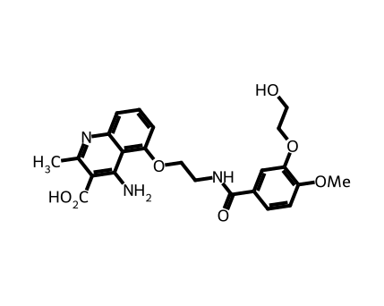 COc1ccc(C(=O)NCCOc2cccc3nc(C)c(C(=O)O)c(N)c23)cc1OCCO